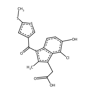 CSc1cc(C(=O)n2c(C)c(CC(=O)O)c3c(Cl)c(O)ccc32)cs1